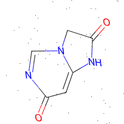 O=C1Cn2cnc(=O)cc2N1